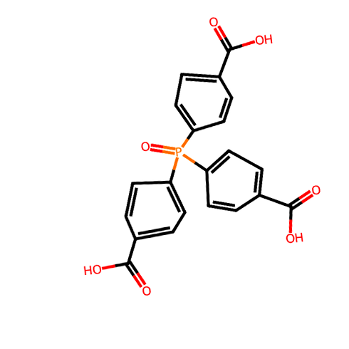 O=C(O)c1ccc(P(=O)(c2ccc(C(=O)O)cc2)c2ccc(C(=O)O)cc2)cc1